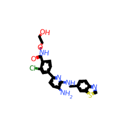 Nc1ccc(-c2ccc(C(=O)NOCCO)c(Cl)c2)nc1NCc1ccc2ncsc2c1